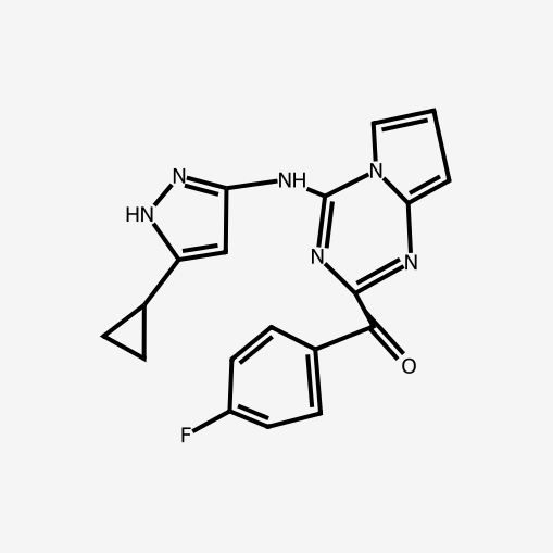 O=C(c1ccc(F)cc1)c1nc(Nc2cc(C3CC3)[nH]n2)n2cccc2n1